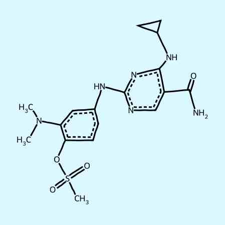 CN(C)c1cc(Nc2ncc(C(N)=O)c(NC3CC3)n2)ccc1OS(C)(=O)=O